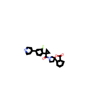 O=C1OC2(CCN(C(=O)C3(c4ccc(-c5ccncc5)cc4F)CC3)C2)c2ccccc21